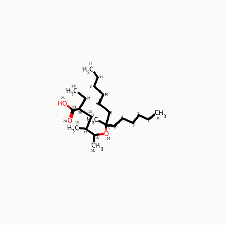 CCCCCCC(C)(CCCCCC)OC(C)C(C)CC(CC)C(=O)O